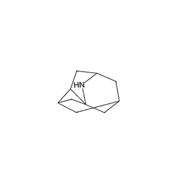 C1C2CC3CC4(C2)NC1CC34